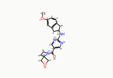 CCOc1ccc2c(c1)CC(Nc1ncc(C(=O)N3CCC34COC4)cn1)C2